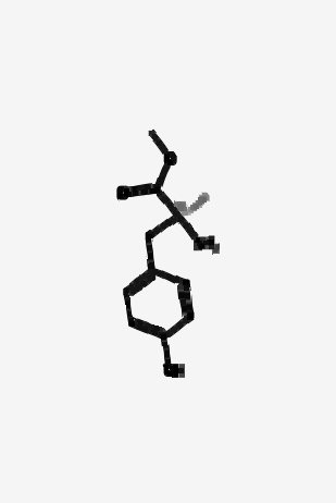 COC(=O)[C@@](C)(N)Cc1ccc(O)cc1